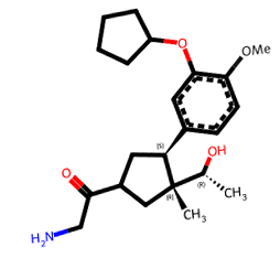 COc1ccc([C@@H]2CC(C(=O)CN)C[C@@]2(C)[C@@H](C)O)cc1OC1CCCC1